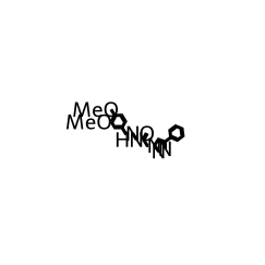 COc1ccc(/C=N/NC(=O)Cn2cc(-c3ccccc3)nn2)cc1OC